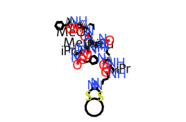 CC[C@H](C)[C@@H]([C@@H](CC(=O)N1CCC[C@H]1[C@H](OC)[C@@H](C)C(=O)N[C@H](C)[C@@H](O)c1ccccc1)OC)N(C)C(=O)[C@@H](NC(=O)[C@H](C(C)C)N(C)C(=O)OCc1ccc(NC(=O)[C@H](CCCNC(N)=O)NC(=O)[C@@H](NC(=O)CCCn2nnc3c2CSC2CCCCCCCCCCC(C2)SC3)C(C)C)cc1)C(C)C